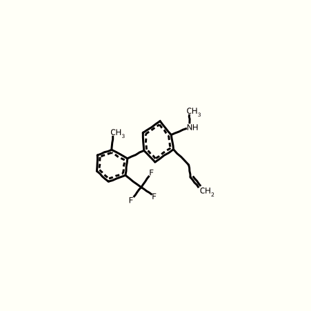 C=CCc1cc(-c2c(C)cccc2C(F)(F)F)ccc1NC